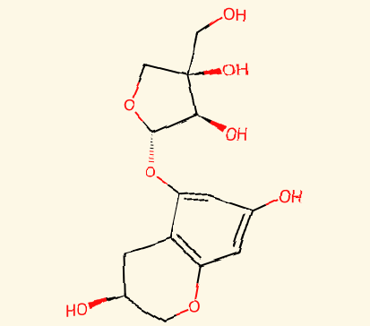 OC[C@@]1(O)CO[C@@H](Oc2cc(O)cc3c2C[C@H](O)CO3)[C@@H]1O